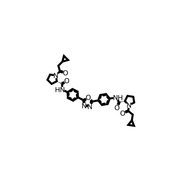 O=C(Nc1ccc(-c2nnc(-c3ccc(NC(=O)[C@@H]4CCCN4C(=O)CC4CC4)cc3)o2)cc1)[C@@H]1CCCN1C(=O)CC1CC1